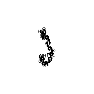 C[C@H]1CN(Cc2ccc3c(c2)n(C)c(=O)n3C2CCC(=O)NC2=O)CCN1CC1CCN(C(=O)c2cc(F)c(C3CCN(Cc4cc5c(-n6ccc7c(c6=O)CCN7)ccnc5n4C)CC3)c(F)c2)CC1